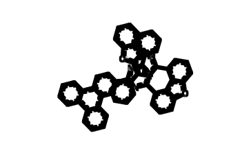 c1ccc(-c2nc(-c3ccc4c5ccccc5c5ccccc5c4c3)nc(-c3cccc4oc5cccc(-c6nc(-c7ccccc7)c7oc8ccccc8c7n6)c5c34)n2)cc1